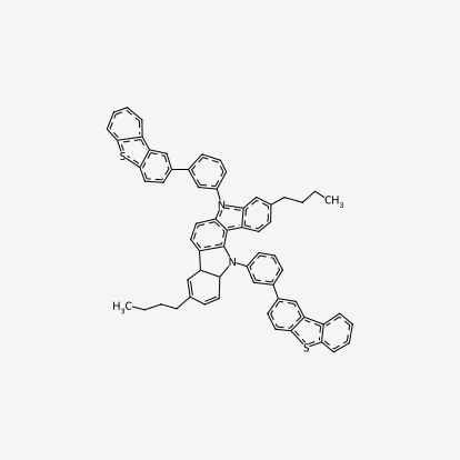 CCCCC1=CC2c3ccc4c(c3N(c3cccc(-c5ccc6sc7ccccc7c6c5)c3)C2C=C1)c1ccc(CCCC)cc1n4-c1cccc(-c2ccc3sc4ccccc4c3c2)c1